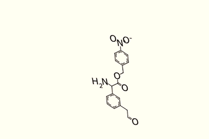 NC(C(=O)OCc1ccc([N+](=O)[O-])cc1)c1cccc(CC=O)c1